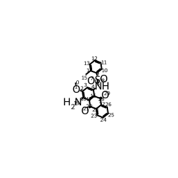 COc1cc(NS(=O)(=O)c2ccccc2C)c2c(c1N)C(=O)c1ccccc1C2=O